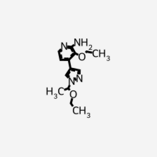 CCOc1c(-c2cnn(C(C)OCC)c2)ccnc1N